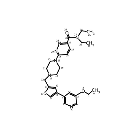 CCOc1cncc(-c2csc(CN3CCN(c4ccc(C(=O)N(CC)CC)nn4)CC3)c2)c1